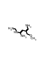 COCC(=C/N)/C=C(\N)NCN